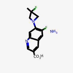 CC1(F)CN(c2cc3ncc(C(=O)O)cc3cc2F)C1.N